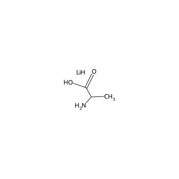 CC(N)C(=O)O.[LiH]